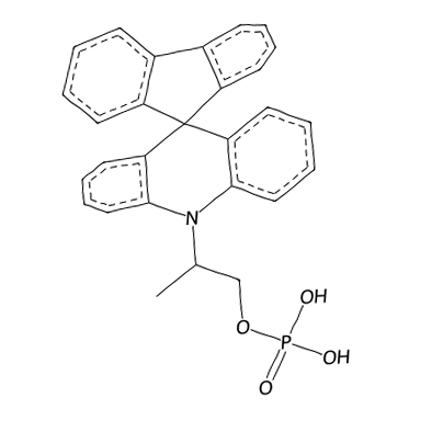 CC(COP(=O)(O)O)N1c2ccccc2C2(c3ccccc3-c3ccccc32)c2ccccc21